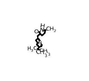 C=C1CCC(Cc2cc3cc(C(C)(C)C)ccn3c2)C(=O)N1